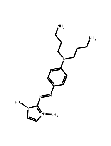 Cn1cc[n+](C)c1N=Nc1ccc(N(CCCN)CCCN)cc1